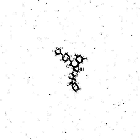 Cc1cc(C)cc(-c2[nH]c3sc(C(C)(C)C(=O)N4C5CCC4CC5)cc3c2C(=O)CN2CCN(C3CCSC3)CC2)c1